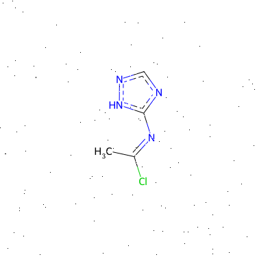 C/C(Cl)=N\c1ncn[nH]1